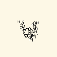 CCCOC(=O)c1cn(Cc2cccc(C(=N)N)c2)cc1Cc1ccc(C(=N)N)cc1.O=C(O)C(F)(F)F.O=C(O)C(F)(F)F